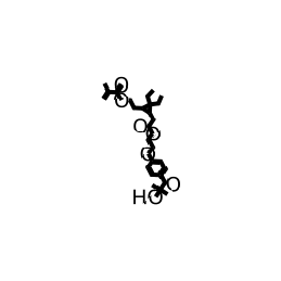 C=C(C)C(=O)OCCC1C(CC(=O)OCCOc2ccc(C(=O)C(C)(C)O)cc2)C1(CC)CC